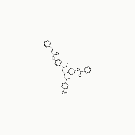 CCC(CC(CC(C)c1ccc(O)cc1)c1ccc(OC(=O)c2ccccc2)cc1)c1ccc(OC(=O)/C=C/c2ccccc2)cc1